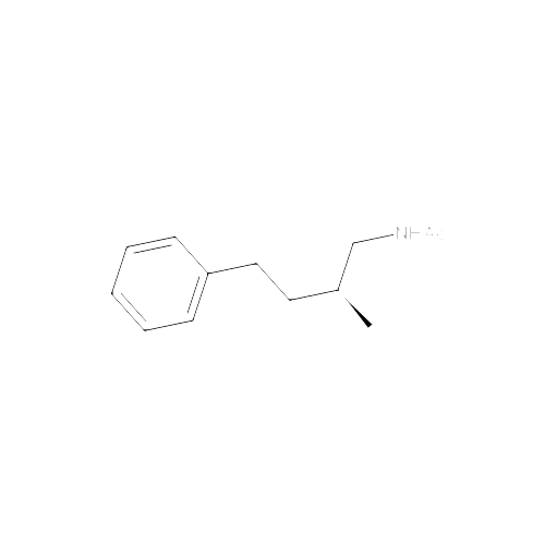 CC(=O)NC[C@@H](C)CCc1ccccc1